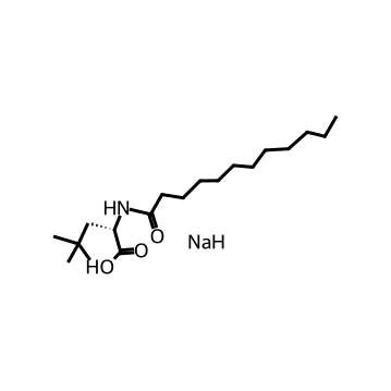 CCCCCCCCCCCC(=O)N[C@@H](CC(C)(C)C)C(=O)O.[NaH]